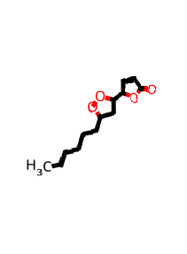 CCCCCCC1CC(C2C=CC(=O)O2)OO1